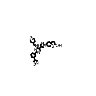 CN1CCC(CNc2nc(-c3cccc(-c4cnn(C)c4)c3)ncc2-c2cnn([C@H]3CC[C@]4(CCC(O)N4C)CC3)c2)CC1